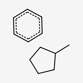 CC1CCCC1.c1ccccc1